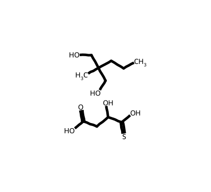 CCCC(C)(CO)CO.O=C(O)CC(O)C(O)=S